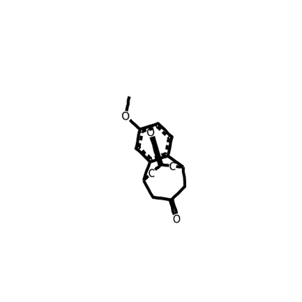 COc1ccc2c(c1)C1CC(=O)CC2CC(=O)C1